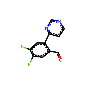 O=Cc1cc(F)c(F)cc1-c1ccncn1